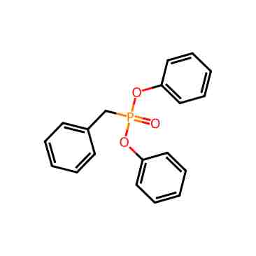 O=P(Cc1ccccc1)(Oc1ccccc1)Oc1ccccc1